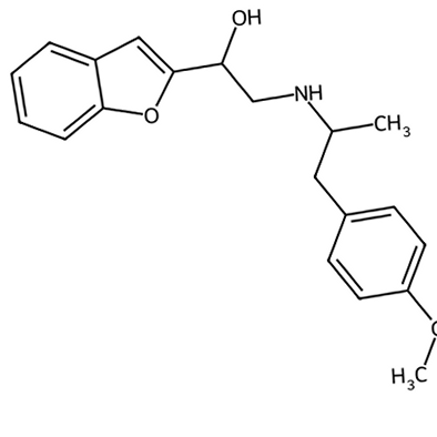 COc1ccc(CC(C)NCC(O)c2cc3ccccc3o2)cc1